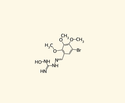 COc1c(Br)cc(C=NNC(=N)NO)c(OC)c1OC